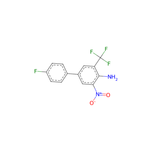 Nc1c([N+](=O)[O-])cc(-c2ccc(F)cc2)cc1C(F)(F)F